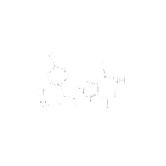 COC(c1ccc(Cl)cc1Cl)C(C)[N+]1(C)C=C(C(N)=O)C(C(F)F)=N1